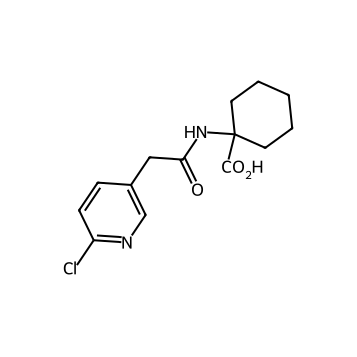 O=C(Cc1ccc(Cl)nc1)NC1(C(=O)O)CCCCC1